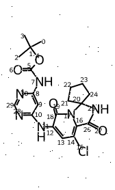 CC(C)(C)OC(=O)Nc1cc(Nc2cc(Cl)c3n(c2=O)C2(CCCC2)NC3=O)ncn1